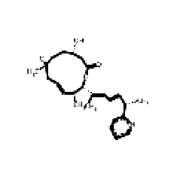 C/C(=C\C=C\[C@H](C)c1ccccn1)[C@H]1OC(=O)C[C@@H](O)CC[C@@](C)(O)[CH]/C=C/[C@@H]1C